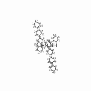 c1ccc(C2=NC(c3cc(-c4ccc(-c5ccccc5)cc4)cc4oc5ccccc5c34)NC(c3ccc(-c4ccc(-c5ccccc5)cc4)cc3)N2)cc1